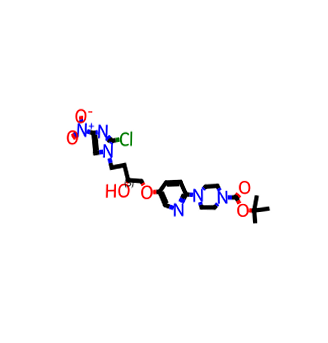 CC(C)(C)OC(=O)N1CCN(c2ccc(OC[C@@H](O)CCn3cc([N+](=O)[O-])nc3Cl)cn2)CC1